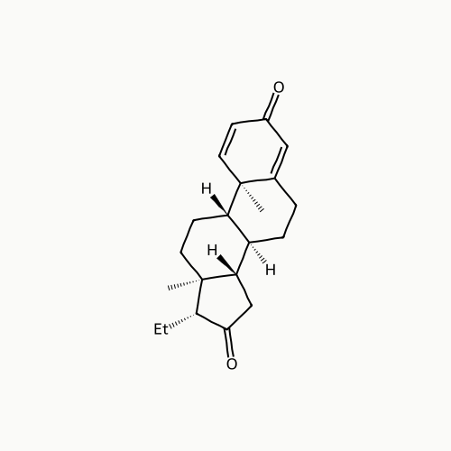 CC[C@H]1C(=O)C[C@H]2[C@@H]3CCC4=CC(=O)C=C[C@]4(C)[C@H]3CC[C@]12C